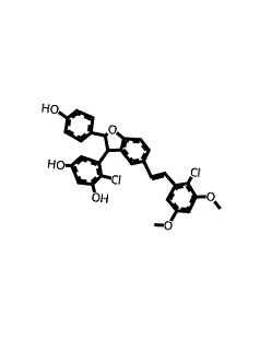 COc1cc(/C=C/c2ccc3c(c2)C(c2cc(O)cc(O)c2Cl)C(c2ccc(O)cc2)O3)c(Cl)c(OC)c1